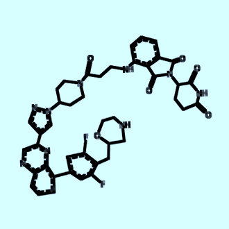 O=C1CCC(N2C(=O)c3cccc(NCCC(=O)N4CCC(n5cc(-c6cnc7cccc(-c8cc(F)c(CC9CNCCO9)c(F)c8)c7n6)cn5)CC4)c3C2=O)C(=O)N1